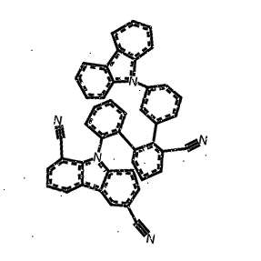 N#Cc1ccc2c(c1)c1cccc(C#N)c1n2-c1ccccc1-c1cccc(C#N)c1-c1cccc(-n2c3ccccc3c3ccccc32)c1